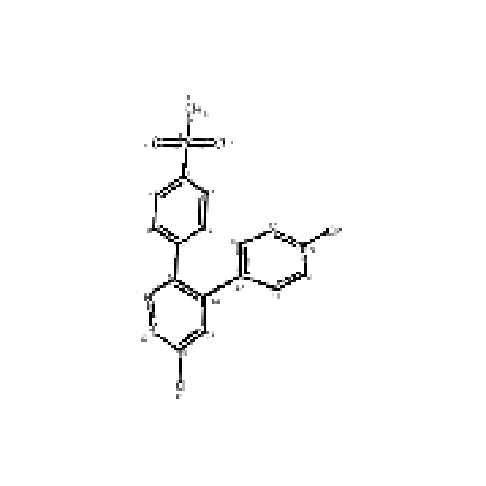 CS(=O)(=O)c1ccc(-c2nnc(Cl)cc2-c2ccc(Cl)cc2)cc1